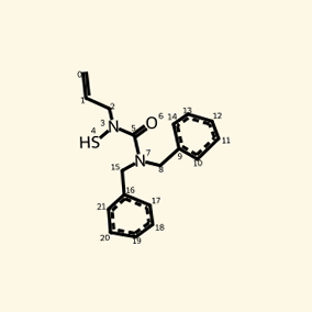 C=CCN(S)C(=O)N(Cc1ccccc1)Cc1ccccc1